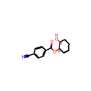 N#Cc1ccc(C(=O)O[C@@H]2CCCC[C@@H]2O)cc1